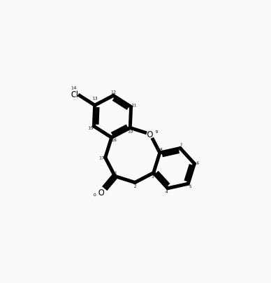 O=C1Cc2ccccc2Oc2ccc(Cl)cc2C1